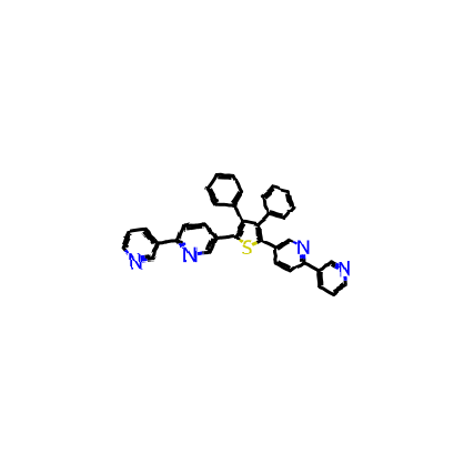 c1ccc(-c2c(-c3ccc(-c4cccnc4)nc3)sc(-c3ccc(-c4cccnc4)nc3)c2-c2ccccc2)cc1